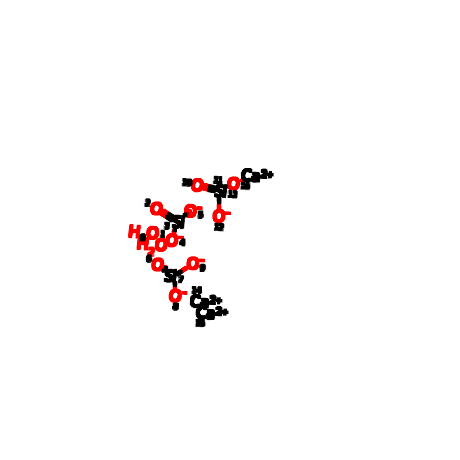 O.O.O=[Si]([O-])[O-].O=[Si]([O-])[O-].O=[Si]([O-])[O-].[Ca+2].[Ca+2].[Ca+2]